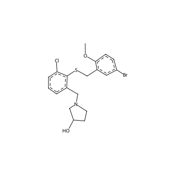 COc1ccc(Br)cc1CSc1c(Cl)cccc1CN1CCC(O)C1